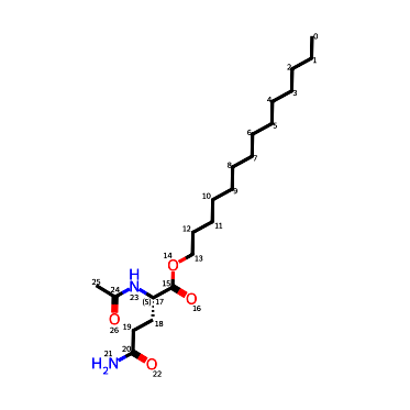 CCCCCCCCCCCCCCOC(=O)[C@H](CCC(N)=O)NC(C)=O